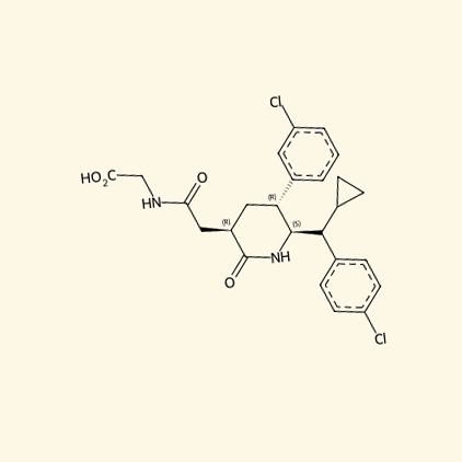 O=C(O)CNC(=O)C[C@H]1C[C@H](c2cccc(Cl)c2)[C@@H](C(c2ccc(Cl)cc2)C2CC2)NC1=O